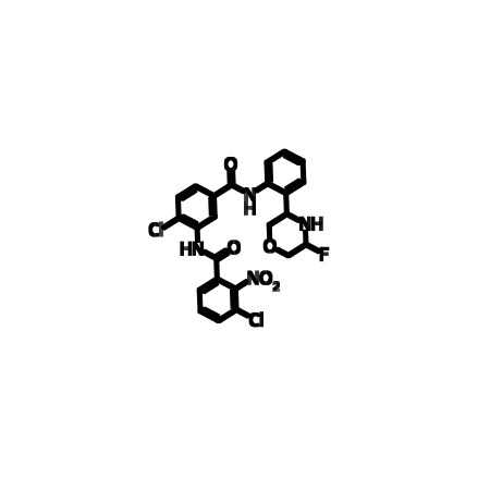 O=C(Nc1ccccc1C1COCC(F)N1)c1ccc(Cl)c(NC(=O)c2cccc(Cl)c2[N+](=O)[O-])c1